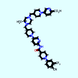 C[C@@H]1CN(CC2CCN(c3ccc(C(=O)O)nc3)CC2)CCN1CC1CCN(c2ccc(NC(=O)C3CCN(c4ccc(C#N)c(C(F)(F)F)c4)CC3)nc2)CC1